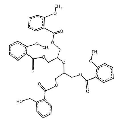 COc1ccccc1C(=O)OCC(COC(=O)c1ccccc1CO)OC(COC(=O)c1ccccc1OC)COC(=O)c1ccccc1OC